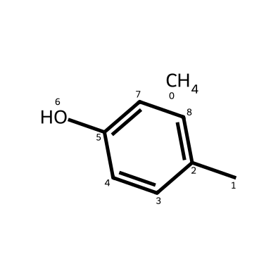 C.Cc1ccc(O)cc1